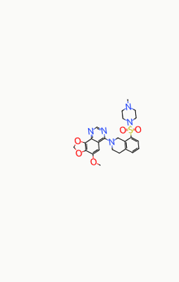 COc1cc2c(N3CCc4cccc(S(=O)(=O)N5CCN(C)CC5)c4C3)ncnc2c2c1OCO2